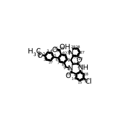 COc1ccc(-c2cc(CN3C(=O)c4ccc(Cl)cc4NC(=O)C3Cc3ccccn3)ccc2C(=O)O)cc1